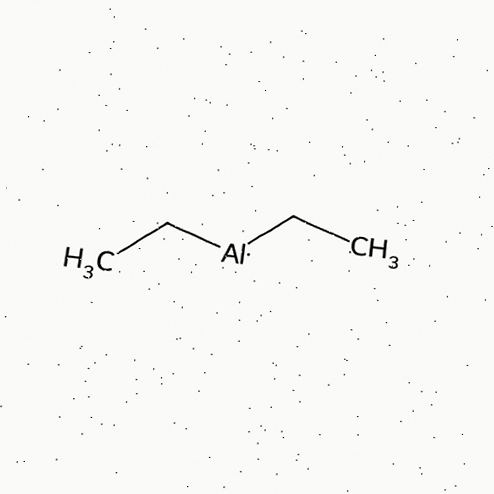 C[CH2][Al][CH2]C